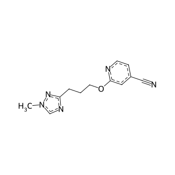 Cn1cnc(CCCOc2cc(C#N)ccn2)n1